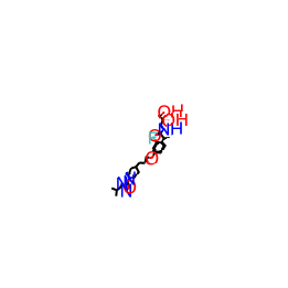 CC(C)c1noc(N2CCC(CCCOc3ccc(C(C)C(=O)NC[C@@H](O)CO)c(F)c3)CC2)n1